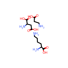 NC(CC(=O)O)C(=O)O.NCCC(=O)O.NCCCCC(N)C(=O)O